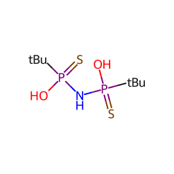 CC(C)(C)P(O)(=S)NP(O)(=S)C(C)(C)C